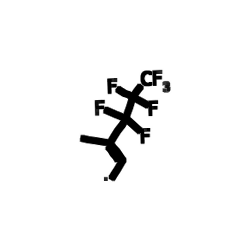 [CH2]C=C(C)C(F)(F)C(F)(F)C(F)(F)F